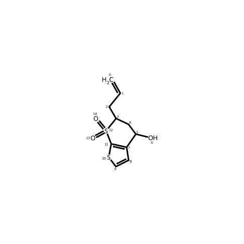 C=CCC1CC(O)c2ccsc2S1(=O)=O